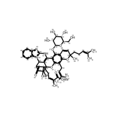 COC(=O)/C(C)=C\CC1(O)C(=O)C2CC(C(C)C)C13Oc1c(CC=C(C)C)c4c(c(O[C@@H]5O[C@H](CO)[C@@H](O)[C@H](O)[C@H]5O)c1C1=C3C2n2c(nc3ccccc32)N1)C=CC(C)(CCC=C(C)C)O4